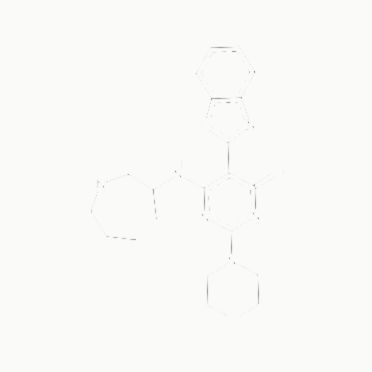 O=c1[nH]c(N2CCOCC2)nc(NC2CCCCNC2)c1-c1nc2ccccc2s1